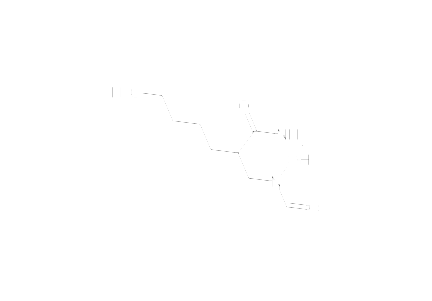 CCCCCC(CN(O)C=O)C(N)=O